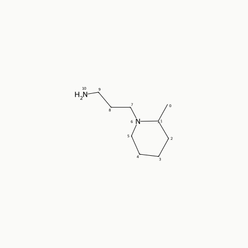 C[C]1CCCCN1CCCN